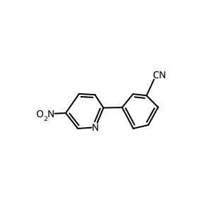 N#Cc1cccc(-c2ccc([N+](=O)[O-])cn2)c1